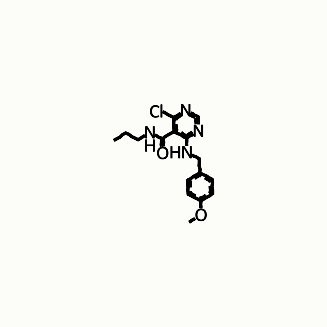 CCCNC(=O)c1c(Cl)ncnc1NCc1ccc(OC)cc1